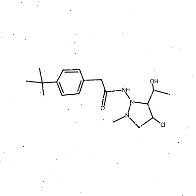 CC(O)C1C(Cl)CN(C)N1NC(=O)Cc1ccc(C(C)(C)C)cc1